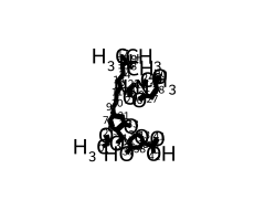 CC(=O)OCc1ccc(CCCN(CCC[N+](C)(C)C)C(=O)CN(C)C(=O)/C=C\C=O)cc1OC1CC(O)CC(C(=O)O)O1